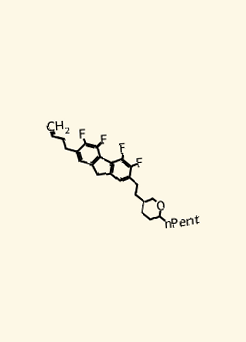 C=CCCc1cc2c(c(F)c1F)-c1c(cc(CCC3CCC(CCCCC)OC3)c(F)c1F)C2